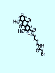 O=C(CBr)NCCCCNC(=O)c1cc(O)c2c(c1)C(=O)c1cccc(O)c1C2=O